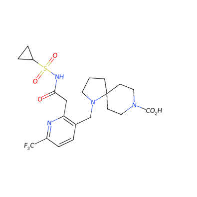 O=C(Cc1nc(C(F)(F)F)ccc1CN1CCCC12CCN(C(=O)O)CC2)NS(=O)(=O)C1CC1